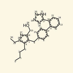 CCCCc1c(Cc2ccc(-c3ccccc3-c3nnn[nH]3)cc2)c(CO)nn1CC